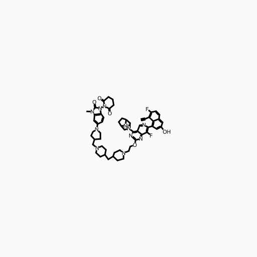 C#Cc1c(F)ccc2cc(O)cc(-c3ncc4c(N5CC6CCC(C5)N6)nc(OCCN5CCC(CC6CCN(CC7CCN(c8ccc9c(c8)n(C)c(=O)n9N8C(=O)CCCC8=O)CC7)CC6)CC5)nc4c3F)c12